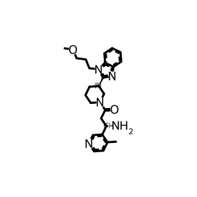 COCCCn1c([C@@H]2CCCN(C(=O)C[C@H](N)c3cnccc3C)C2)nc2ccccc21